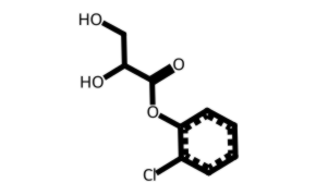 O=C(Oc1ccccc1Cl)C(O)CO